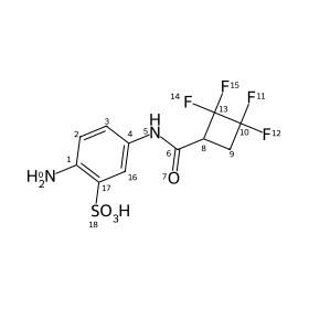 Nc1ccc(NC(=O)C2CC(F)(F)C2(F)F)cc1S(=O)(=O)O